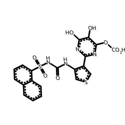 O=C(Nc1cscc1-c1nc(O)c(O)c(OC(=O)O)n1)NS(=O)(=O)c1cccc2ccccc12